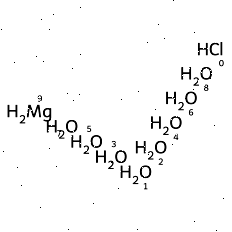 Cl.O.O.O.O.O.O.O.O.[MgH2]